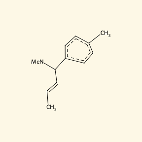 C/C=C/C(NC)c1ccc(C)cc1